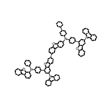 c1ccc(-c2ccc(N(c3ccc(-c4cc(-n5c6ccccc6c6ccccc65)cc5c4oc4ccccc45)cc3)c3ccc4c(c3)oc3ccc(-c5ccc6c(c5)oc5c(-c7ccc(N(c8ccccc8)c8cccc9c8oc8ccccc89)cc7)cc(-n7c8ccccc8c8ccccc87)cc56)cc34)cc2)cc1